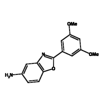 COc1cc(OC)cc(-c2nc3cc(N)ccc3o2)c1